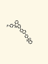 Fc1ccc(-c2nc3cc(-c4ccc5cc(-c6ccc(-c7nc8ccccc8o7)cc6)ccc5c4)ccc3c3ccccc23)cc1